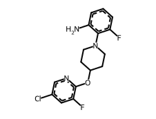 Nc1cccc(F)c1N1CCC(Oc2ncc(Cl)cc2F)CC1